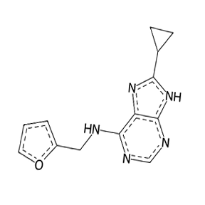 c1coc(CNc2ncnc3[nH]c(C4CC4)nc23)c1